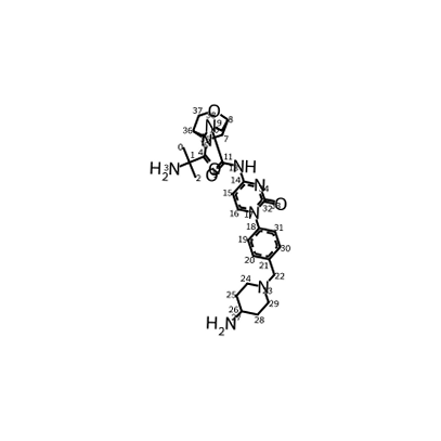 CC(C)(N)C(=O)N1CC2CN(C(=O)Nc3ccn(-c4ccc(CN5CCC(N)CC5)cc4)c(=O)n3)CC1CO2